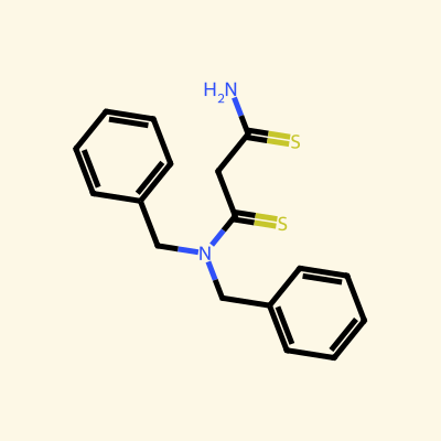 NC(=S)CC(=S)N(Cc1ccccc1)Cc1ccccc1